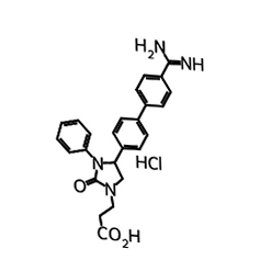 Cl.N=C(N)c1ccc(-c2ccc(C3CN(CCC(=O)O)C(=O)N3c3ccccc3)cc2)cc1